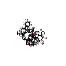 COC1=C(C)C(=O)C2=C(C1=O)C1[C@@H]3[C@@H]4SC[C@]5(NCCc6c5[nH]c5ccccc65)C(=O)OC[C@@H](c5c6c(c(C)c(OC(C)=O)c54)OCO6)N3[C@@H](O)C(C2)N1C